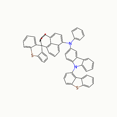 c1ccc(N(c2ccc3c(c2)c2ccccc2n3-c2cccc3sc4ccccc4c23)c2ccc3c4c(cccc24)C2(c4ccccc4Sc4ccccc42)c2ccccc2-3)cc1